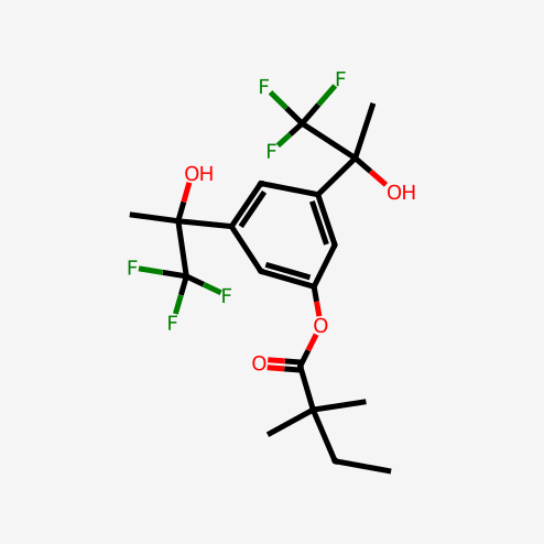 CCC(C)(C)C(=O)Oc1cc(C(C)(O)C(F)(F)F)cc(C(C)(O)C(F)(F)F)c1